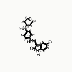 O=C1Nc2ccc(F)cc2C1=CNc1ccc(NC2CCOCC2)cc1